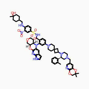 Cc1ccccc1[C@@H]1CN(Cc2cnc3c(c2)OC(C)(C)CO3)CCN1C1CC2(CCN(c3ccc(C(=O)NS(=O)(=O)c4ccc(NCC5CCC(C)(O)CC5)c([N+](=O)[O-])c4)c(N4c5cc6cc[nH]c6nc5O[C@H]5COCC[C@@H]54)c3)CC2)C1